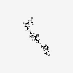 CN(C)Cc1ccc(CSCCNC(=O)NCCSCc2ccc(CN(C)C)o2)o1